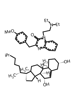 CC(C)CCC[C@@H](C)[C@H]1CC[C@H]2[C@@H]3[C@@H](O)C=C4C[C@@H](O)CC[C@]4(C)[C@H]3CC[C@]12C.CCN(CC)CCn1c(=O)c(Cc2ccc(OC)cc2)nc2ccccc21